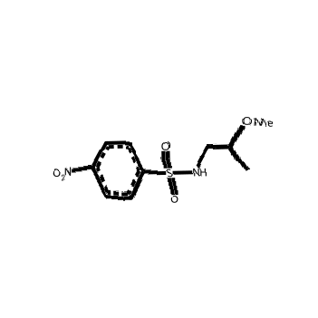 COC(C)CNS(=O)(=O)c1ccc([N+](=O)[O-])cc1